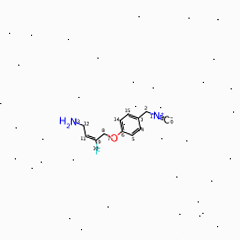 [C-]#[N+]Cc1ccc(OC/C(F)=C\CN)cc1